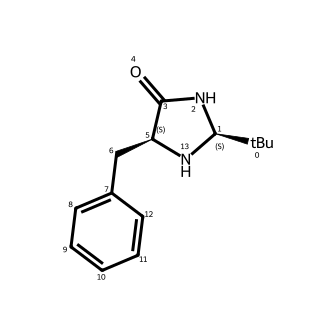 CC(C)(C)[C@@H]1NC(=O)[C@H](Cc2ccccc2)N1